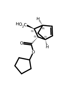 O=C(OC1CCCC1)[C@@H]1[C@@H](C(=O)O)[C@H]2C=C[C@@H]1C2